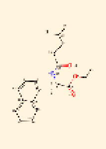 CCOC(=O)[C@H](Cc1cccc2ccccc12)NC(=O)CCC(C)C